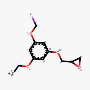 CCOc1cc(OCI)cc(OCC2CO2)c1